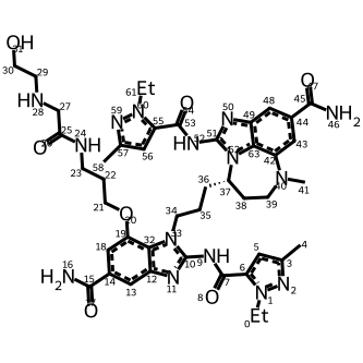 CCn1nc(C)cc1C(=O)Nc1nc2cc(C(N)=O)cc(OCCCNC(=O)CNCCO)c2n1CCC[C@H]1CCN(C)c2cc(C(N)=O)cc3nc(NC(=O)c4cc(C)nn4CC)n1c23